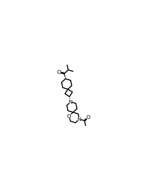 CC(=O)N1CCOC2(CCN([C@H]3CC4(CC[C@H](C(=O)C(C)C)CC4)C3)CC2)C1